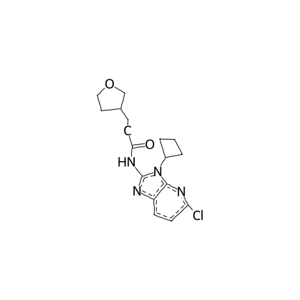 O=C(CCC1CCOC1)Nc1nc2ccc(Cl)nc2n1C1CCC1